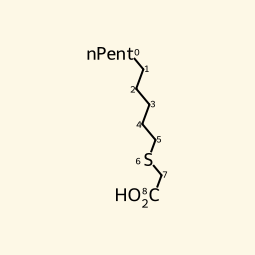 CCCCCCCCCCSCC(=O)O